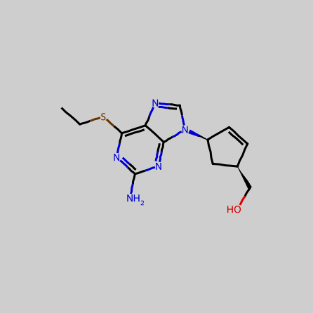 CCSc1nc(N)nc2c1ncn2[C@H]1C=C[C@@H](CO)C1